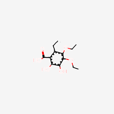 CCOc1c(O)c(O)c(C(=O)O)c(CC)c1OCC